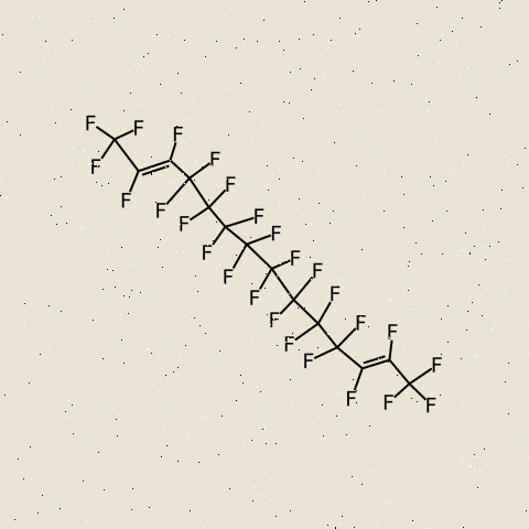 FC(=C(F)C(F)(F)C(F)(F)C(F)(F)C(F)(F)C(F)(F)C(F)(F)C(F)(F)C(F)(F)C(F)=C(F)C(F)(F)F)C(F)(F)F